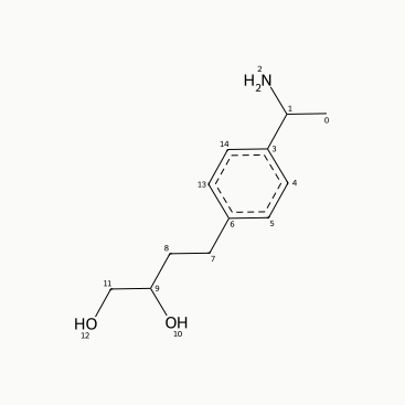 CC(N)c1ccc(CCC(O)CO)cc1